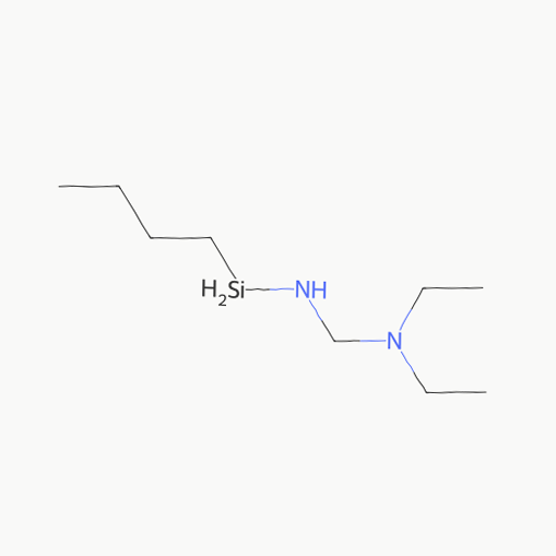 CCCC[SiH2]NCN(CC)CC